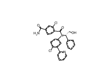 NC(=O)c1ccc(C(=O)N(c2ccc(Cl)c(-c3ccccn3)c2)[C@H](CO)c2ccccc2)c(Cl)c1